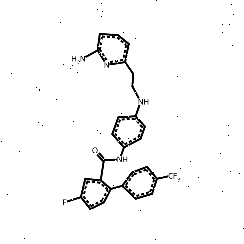 Nc1cccc(CCNc2ccc(NC(=O)c3cc(F)ccc3-c3ccc(C(F)(F)F)cc3)cc2)n1